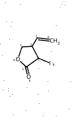 C=CC1COC(=O)C1I